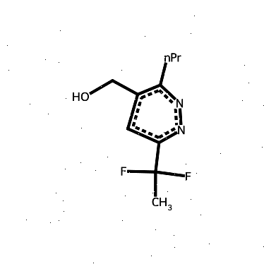 CCCc1nnc(C(C)(F)F)cc1CO